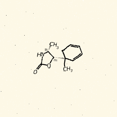 C[C@H]1NC(=O)O[C@H]1C1(C)C=CC=CC1